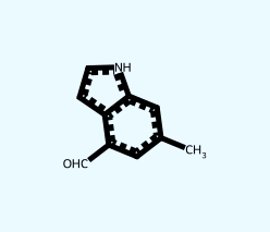 Cc1cc(C=O)c2cc[nH]c2c1